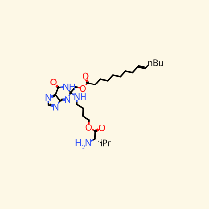 CCCCC=CCCCCCCCC(=O)OCC1(NCCCCOC(=O)[C@@H](N)C(C)C)N=C2N=CN=C2C(=O)N1